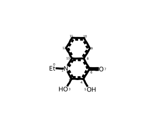 CCn1c(O)c(O)c(=O)c2ccccc21